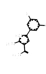 NC(=O)c1cc(-c2cc(F)cc(F)c2)[nH]c1N